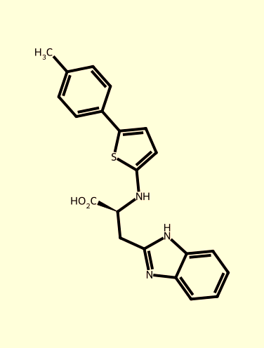 Cc1ccc(-c2ccc(N[C@@H](Cc3nc4ccccc4[nH]3)C(=O)O)s2)cc1